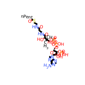 CCCCCC(=O)SCCNC(=O)CCNC(=O)[C@H](O)C(C)(C)COP(=O)(O)OP(=O)(O)OC[C@H]1O[C@@H](n2cnc3c(N)ncnc32)[C@H](O)[C@@H]1OP(=O)(O)O